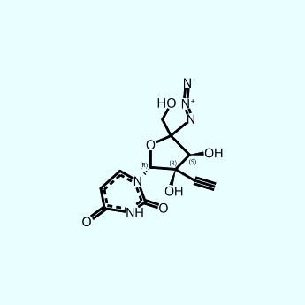 C#C[C@@]1(O)[C@H](O)C(CO)(N=[N+]=[N-])O[C@H]1n1ccc(=O)[nH]c1=O